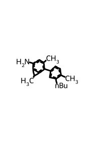 CCCCc1cc(-c2c(C)cc(N)c3c2C3C)ccc1C